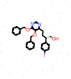 OC[C@@H](CCc1ncnc(OCc2ccccc2)c1OCc1ccccc1)c1ccc(I)cc1